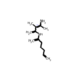 C=CCCCC(=C)NC(=C)/C(C)=C(\C)N